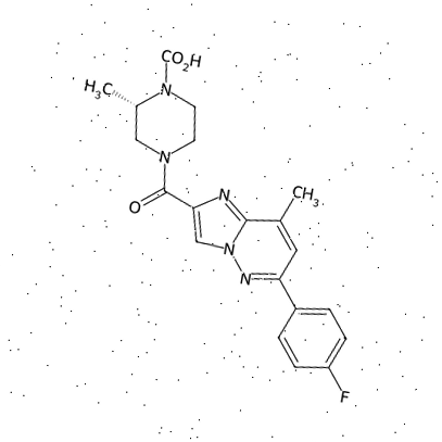 Cc1cc(-c2ccc(F)cc2)nn2cc(C(=O)N3CCN(C(=O)O)[C@@H](C)C3)nc12